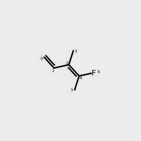 C=C/C(C)=C(\C)F